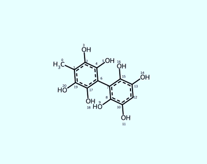 Cc1c(O)c(O)c(-c2c(O)c(O)cc(O)c2O)c(O)c1O